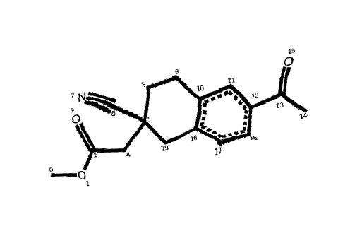 COC(=O)CC1(C#N)CCc2cc(C(C)=O)ccc2C1